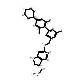 Cc1cc(COc2cc3c(cn2)[C@H](CC(=O)O)CS3)cc(-c2c(C)cc(C3CCCCC3)cc2C)c1